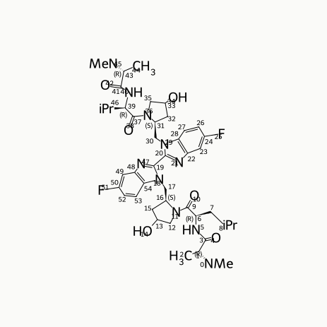 CN[C@H](C)C(=O)N[C@H](CC(C)C)C(=O)N1CC(O)C[C@H]1Cn1c(-c2nc3cc(F)ccc3n2C[C@@H]2CC(O)CN2C(=O)[C@H](NC(=O)[C@@H](C)NC)C(C)C)nc2cc(F)ccc21